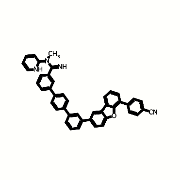 CN(C(=N)c1cccc(-c2ccc(-c3cccc(-c4ccc5oc6c(-c7ccc(C#N)cc7)cccc6c5c4)c3)cc2)c1)C1C=CC=CN1